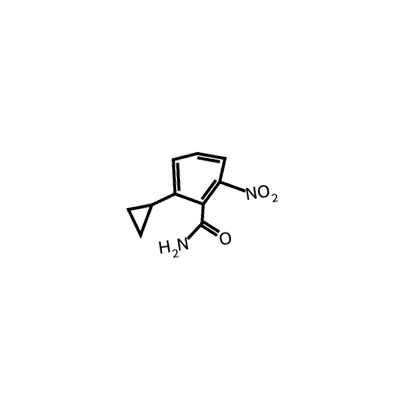 NC(=O)c1c(C2CC2)cccc1[N+](=O)[O-]